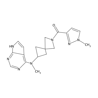 CN(c1ncnc2[nH]ccc12)C1CC2(C1)CN(C(=O)c1ccn(C)n1)C2